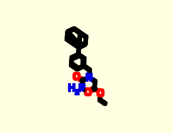 CCOC(=O)CN(Cc1cccc(C2C3CC4CC(C3)CC2C4)c1)C(N)=O